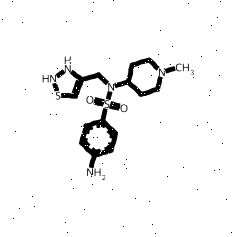 CN1CCC(N(CC2=CSNN2)S(=O)(=O)c2ccc(N)cc2)CC1